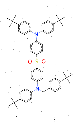 CC(C)(C)c1ccc(CN(c2ccc(C(C)(C)C)cc2)c2ccc(S(=O)(=O)c3ccc(N(c4ccc(C(C)(C)C)cc4)c4ccc(C(C)(C)C)cc4)cc3)cc2)cc1